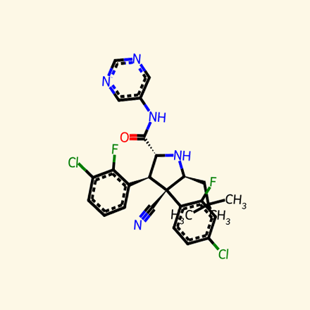 CC(C)(C)C[C@@H]1N[C@@H](C(=O)Nc2cncnc2)[C@H](c2cccc(Cl)c2F)[C@@]1(C#N)c1ccc(Cl)cc1F